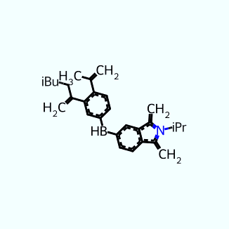 C=C(C)c1ccc(Bc2ccc3c(=C)n(C(C)C)c(=C)c3c2)cc1C(=C)CC(C)CC